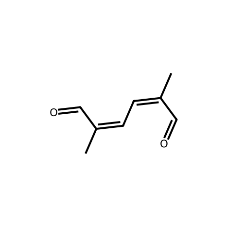 CC(C=O)=CC=C(C)C=O